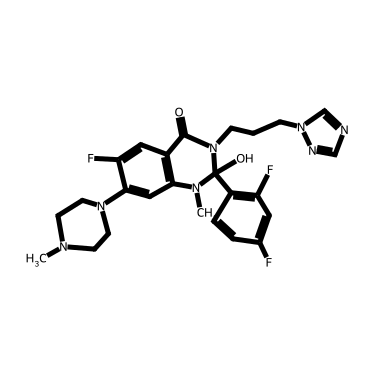 CN1CCN(c2cc3c(cc2F)C(=O)N(CCCn2cncn2)C(O)(c2ccc(F)cc2F)N3C)CC1